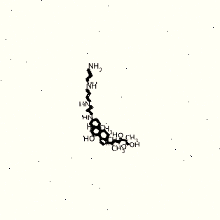 CC(C(=O)O)C(O)CC[C@@H](C)[C@H]1CCC2C3C(CC[C@@]21C)[C@@]1(C)CC[C@H](NCCCNCCCCNCCCN)C[C@@H]1C[C@H]3O